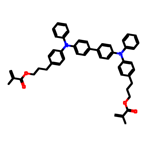 C=C(C)C(=O)OCCCc1ccc(N(c2ccccc2)c2ccc(-c3ccc(N(c4ccccc4)c4ccc(CCCOC(=O)C(=C)C)cc4)cc3)cc2)cc1